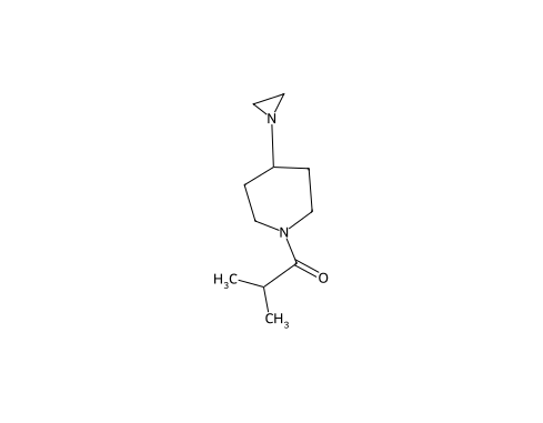 CC(C)C(=O)N1CCC(N2CC2)CC1